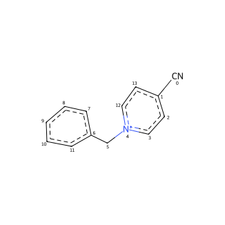 N#Cc1cc[n+](Cc2ccccc2)cc1